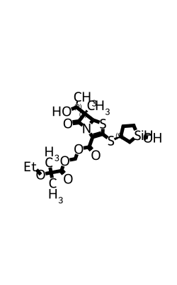 CCOC(C)(C)C(=O)OCOC(=O)C1=C(S[C@H]2CC[SiH](O)C2)SC2N1C(=O)[C@]2(C)[C@@H](C)O